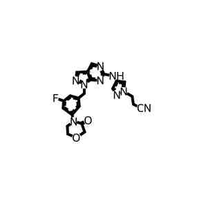 N#CCCn1cc(Nc2ncc3cnn(Cc4cc(F)cc(N5CCOCC5=O)c4)c3n2)cn1